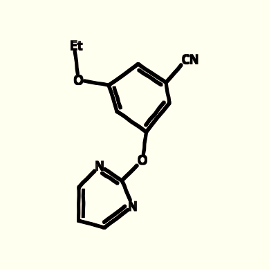 CCOc1cc(C#N)cc(Oc2ncccn2)c1